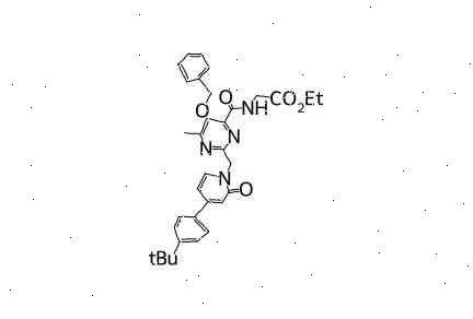 CCOC(=O)CNC(=O)c1nc(Cn2ccc(-c3ccc(C(C)(C)C)cc3)cc2=O)nc(C)c1OCc1ccccc1